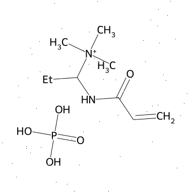 C=CC(=O)NC(CC)[N+](C)(C)C.O=P(O)(O)O